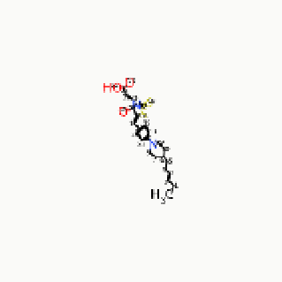 CCCCCCC1CCN(c2ccc(/C=C3\SC(=S)N(CCC(=O)O)C3=O)cc2)CC1